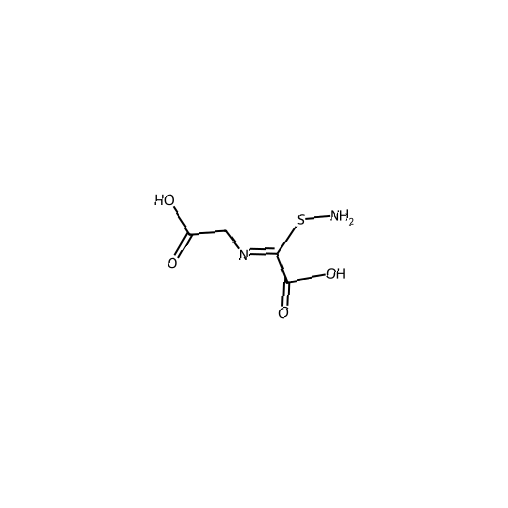 NS/C(=N\CC(=O)O)C(=O)O